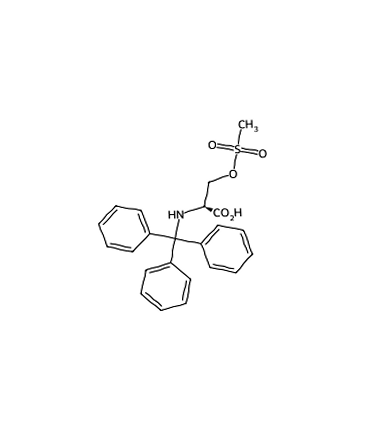 CS(=O)(=O)OC[C@H](NC(c1ccccc1)(c1ccccc1)c1ccccc1)C(=O)O